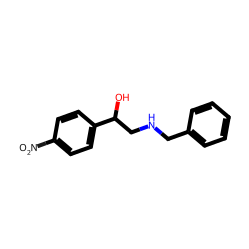 O=[N+]([O-])c1ccc(C(O)CNCc2ccccc2)cc1